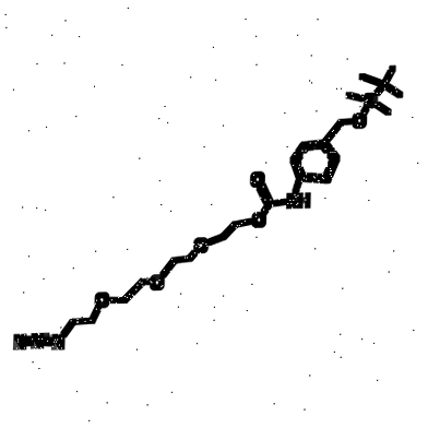 CC(C)(C)[Si](C)(C)OCc1ccc(NC(=O)OCCOCCOCCOCCN=[N+]=[N-])cc1